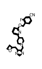 N#Cc1ccc(COc2cccc(C3CCN(CC4=NC=NC4CC4CCO4)CC3)n2)c(F)c1